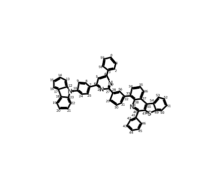 c1ccc(-c2cc(-c3ccc(-n4c5ccccc5c5ccccc54)cc3)nc(-c3cccc(-c4cccc5c4nc(-c4ccccc4)c4sc6ccccc6c45)c3)n2)cc1